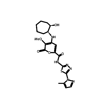 COc1c(N[C@H]2CCCCC[C@H]2O)cc(C(=O)Nc2nnc(-n3nccc3C)s2)oc1=O